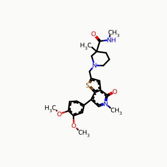 CNC(=O)C1(C)CCCN(Cc2cc3c(=O)n(C)cc(-c4ccc(OC)c(OC)c4)c3s2)C1